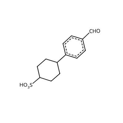 O=Cc1ccc(C2CCC(S(=O)(=O)O)CC2)cc1